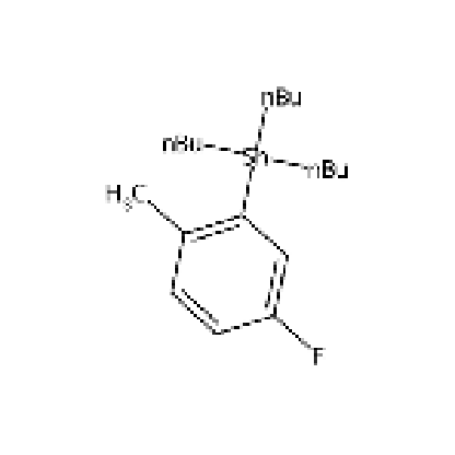 CCC[CH2][Sn]([CH2]CCC)([CH2]CCC)[c]1cc(F)ccc1C